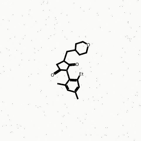 CCc1cc(C)cc(C)c1C1C(=O)CC(CC2CCOCC2)C1=O